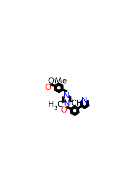 COC(=O)c1ccc(CN2C[C@@H](C)N(C(=O)c3cccc(-c4cccnc4)c3)[C@@H](C)C2)cc1